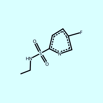 CCNS(=O)(=O)c1ccc(F)cn1